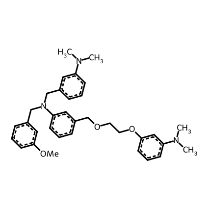 COc1cccc(CN(Cc2cccc(N(C)C)c2)c2cccc(COCCOc3cccc(N(C)C)c3)c2)c1